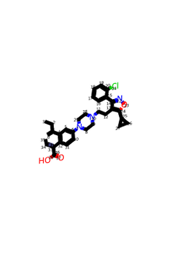 C=C(CC)c1cc(N2CCN(CCc3c(-c4ccccc4Cl)noc3C3CC3)CC2)ccc1/C(=C\C)C(=O)O